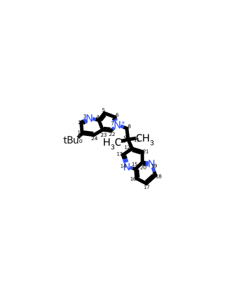 CC(C)(C)c1cnc2cc[n+](CC(C)(C)c3cnc4cccnc4c3)cc2c1